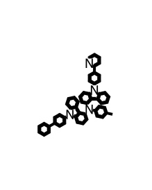 Cc1ccc(N(c2cccc3c2c2ccccc2n3-c2ccc(-c3ccccc3)cc2)c2cccc3c2c2ccccc2n3-c2ccc(-c3ccccn3)cc2)cc1